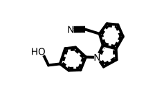 N#Cc1cccc2ccn(-c3ccc(CO)cc3)c12